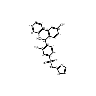 O=S(=O)(Nc1nccs1)c1ccc(C(O)c2ccc(Cl)cc2-c2ccncc2)c(F)c1